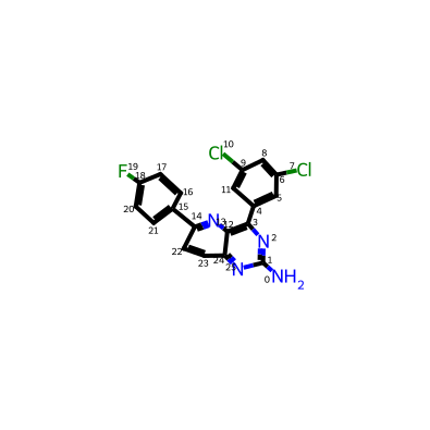 Nc1nc(-c2cc(Cl)cc(Cl)c2)c2nc(-c3ccc(F)cc3)ccc2n1